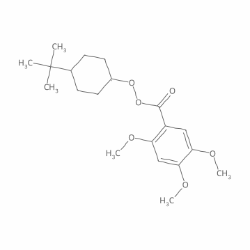 COc1cc(OC)c(C(=O)OO[C]2CCC(C(C)(C)C)CC2)cc1OC